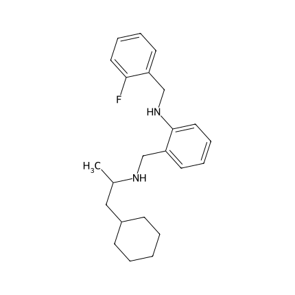 CC(CC1CCCCC1)NCc1ccccc1NCc1ccccc1F